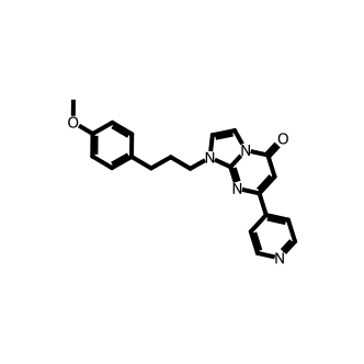 COc1ccc(CCCn2ccn3c(=O)cc(-c4ccncc4)nc23)cc1